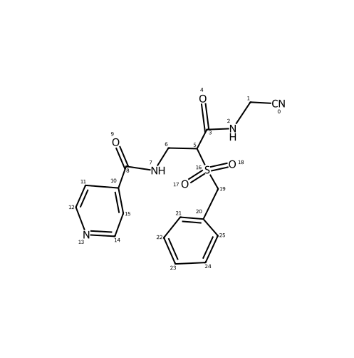 N#CCNC(=O)C(CNC(=O)c1ccncc1)S(=O)(=O)Cc1ccccc1